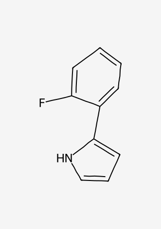 Fc1ccccc1-c1ccc[nH]1